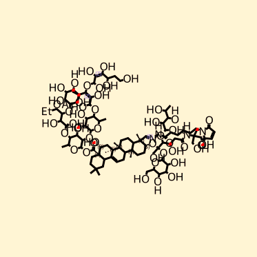 CCC(OC(C)=O)C(OC1CCC(O)C(O)C1O)C(O)C(O)OC1C(C)OC(OC(=O)[C@]23CCC(C)(C)CC2C2=CCC4[C@@]5(C)CC[C@H](OC(CO)(OC6OC(CO)C(O)C(O)C6O)C(OC(O)C(O)C(O)C(C)O)C(O)CC(=O)NC(C)(CO)CO)[C@@](C)(/C=N/NC(=O)CCCCCN6C(=O)C=CC6=O)C5CC[C@@]4(C)[C@]2(C)C[C@H]3O)C(OC2OC(C)C(OC(O)/C(O)=C(/OC(O)/C(O)=C(/O)C(O)CCO)C(C)O)C(O)C2O)C1O